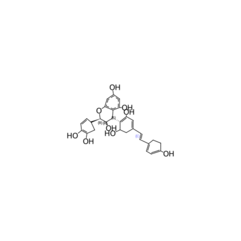 OC1=CC=C(/C=C/C2=CC(O)=C([C@H]3c4c(O)cc(O)cc4O[C@H](C4C=CC(O)=C(O)C4)[C@@H]3O)C(O)C2)CC1